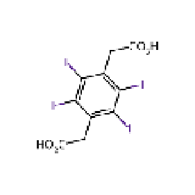 O=C(O)Cc1c(I)c(I)c(CC(=O)O)c(I)c1I